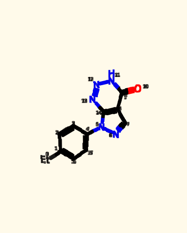 CCc1ccc(-n2ncc3c(=O)[nH]nnc32)cc1